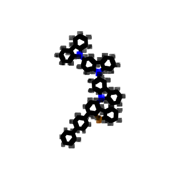 c1ccc(-c2ccc(-c3ccc(-n4c5ccccc5c5cc(-n6c7ccccc7c7cc(-n8c9ccccc9c9ccccc98)ccc76)ccc54)c4c3sc3ccccc34)cc2)cc1